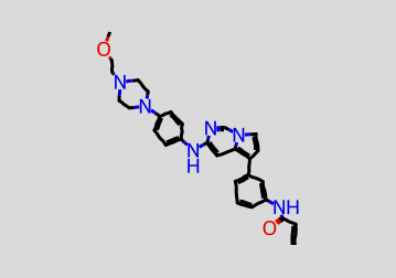 C=CC(=O)Nc1cccc(-c2ccn3cnc(Nc4ccc(N5CCN(CCOC)CC5)cc4)cc23)c1